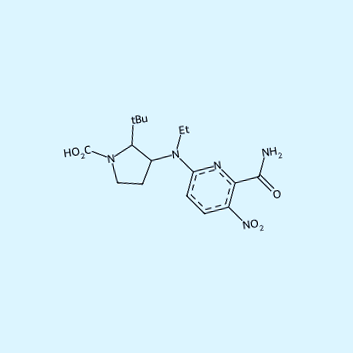 CCN(c1ccc([N+](=O)[O-])c(C(N)=O)n1)C1CCN(C(=O)O)C1C(C)(C)C